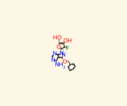 Nc1ncnc2c1c(OCc1ccccc1)nn2[C@@H]1O[C@H](CO)[C@@H](O)[C@@H]1F